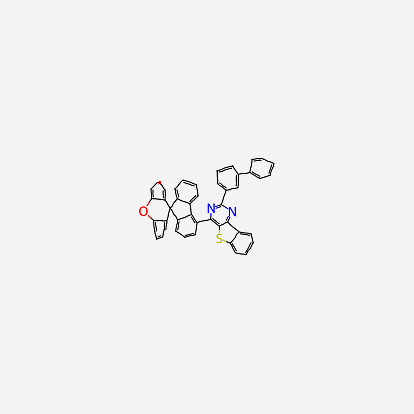 c1ccc(-c2cccc(-c3nc(-c4cccc5c4-c4ccccc4C54c5ccccc5Oc5ccccc54)c4sc5ccccc5c4n3)c2)cc1